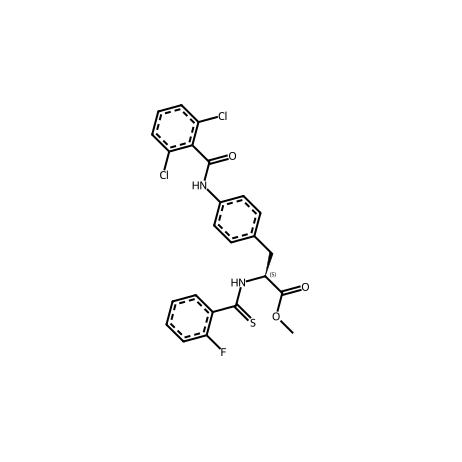 COC(=O)[C@H](Cc1ccc(NC(=O)c2c(Cl)cccc2Cl)cc1)NC(=S)c1ccccc1F